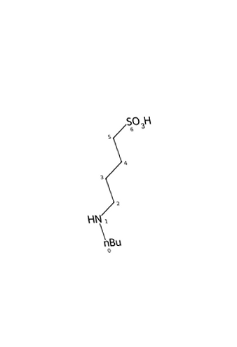 CCCCNCCCCS(=O)(=O)O